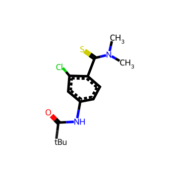 CN(C)C(=S)c1ccc(NC(=O)C(C)(C)C)cc1Cl